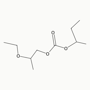 CCOC(C)COC(=O)OC(C)CC